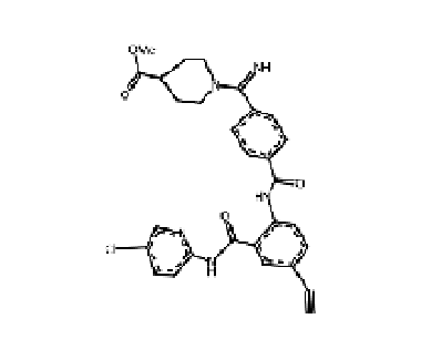 C#Cc1ccc(NC(=O)c2ccc(C(=N)N3CCC(C(=O)OC)CC3)cc2)c(C(=O)Nc2ccc(Cl)cn2)c1